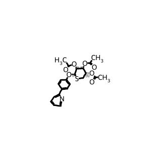 CC(=O)O[C@@H]1[C@@H](OC(C)=O)[C@H](OC(C)=O)CS[C@H]1Oc1ccc(-c2ccccn2)cc1